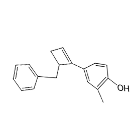 Cc1cc(C2=CCC2Cc2ccccc2)ccc1O